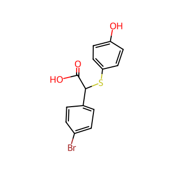 O=C(O)C(Sc1ccc(O)cc1)c1ccc(Br)cc1